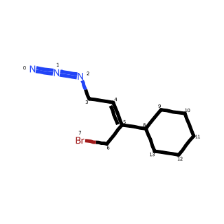 [N-]=[N+]=NCC=C(CBr)C1CCCCC1